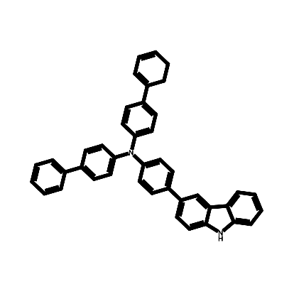 C1=CCCC(c2ccc(N(c3ccc(-c4ccccc4)cc3)c3ccc(-c4ccc5[nH]c6ccccc6c5c4)cc3)cc2)=C1